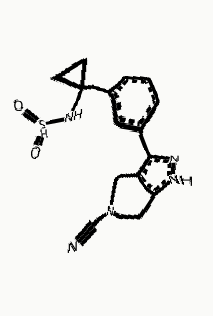 N#CN1Cc2[nH]nc(-c3cccc(C4(N[SH](=O)=O)CC4)c3)c2C1